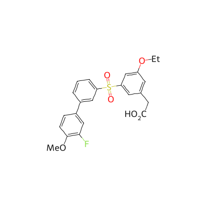 CCOc1cc(CC(=O)O)cc(S(=O)(=O)c2cccc(-c3ccc(OC)c(F)c3)c2)c1